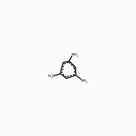 Nc1cc(N)cc(N)c1